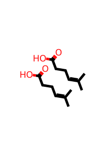 CC(C)=CCCC(=O)O.CC(C)=CCCC(=O)O